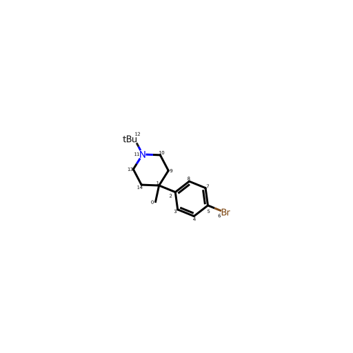 CC1(c2ccc(Br)cc2)CCN(C(C)(C)C)CC1